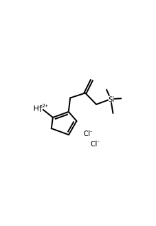 C=C(CC1=[C]([Hf+2])CC=C1)C[Si](C)(C)C.[Cl-].[Cl-]